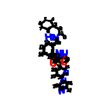 CC(CC1CCCCC1)NCc1ccccc1NS(=O)(=O)c1ccc(-n2ccnc2)nc1